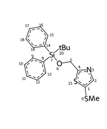 CSc1cnc(CO[Si](c2ccccc2)(c2ccccc2)C(C)(C)C)s1